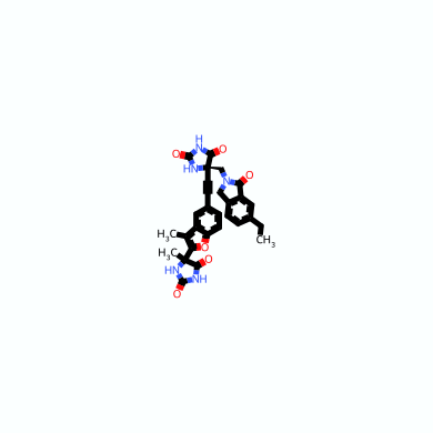 CCc1ccc2c(c1)C(=O)N(C[C@@]1(C#Cc3ccc4oc(C5(C)NC(=O)NC5=O)c(C)c4c3)NC(=O)NC1=O)C2